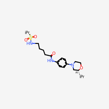 CC(C)[C@@H]1CN(c2ccc(NC(=O)CCCCNS(=O)(=O)C(C)C)cc2)CCO1